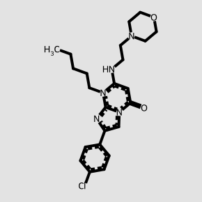 CCCCCn1c(NCCN2CCOCC2)cc(=O)n2cc(-c3ccc(Cl)cc3)nc12